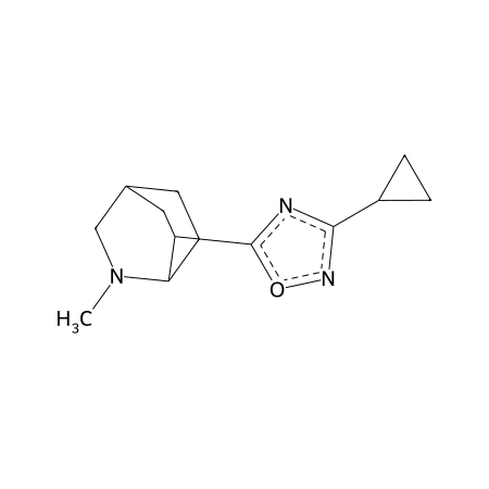 CN1CC2CCC1C(c1nc(C3CC3)no1)C2